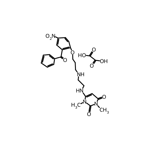 Cn1c(NCCNCCCOc2ccc([N+](=O)[O-])cc2C(=O)c2ccccc2)cc(=O)n(C)c1=O.O=C(O)C(=O)O